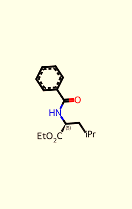 CCOC(=O)[C@H](CC(C)C)NC(=O)c1ccccc1